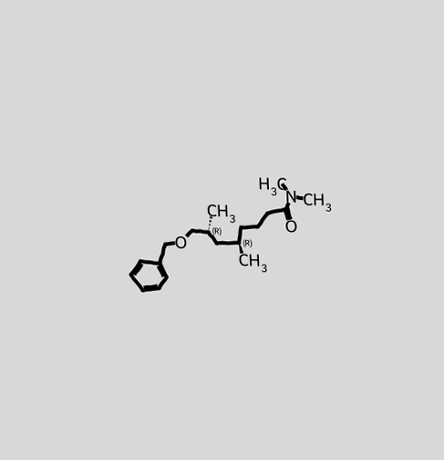 C[C@H](CCCC(=O)N(C)C)C[C@@H](C)COCc1ccccc1